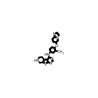 Cc1cc(Nc2ncnc3sc4c(c23)CCNC4)ccc1Oc1ccc2nccn2c1